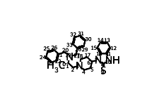 C[C@@H](CN1CCC(n2c(=S)[nH]c3ccccc32)CC1)N(Cc1ccccc1)Cc1ccccc1